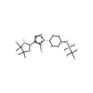 CC1(C)OB(c2cnn([C@H]3CC[C@H](O[Si](C)(C)C(C)(C)C)CC3)c2F)OC1(C)C